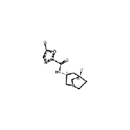 O=C(N[C@@H]1C[C@@H]2CCN(C2)C1)c1ncc(Br)o1